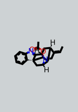 C/C=C1/CN2[C@H]3C[C@@H]1C1[C@@H](OC(C)=O)[C@@]4(C[C@@H]12)C3=Nc1ccccc14